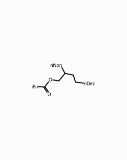 CCCCCCCCCCCCC(CCCCCCCCC)COC(=O)C(C)CC